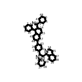 c1ccc(-c2nc3ccccc3c3c2ccc2cc(-c4ccc(-c5nc6ccccn6c5-c5nccc6ccccc56)cc4)ccc23)cc1